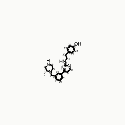 C[C@@H]1CNCCN1Cc1cccc(-c2ccnc(NCCc3ccc(O)cc3)n2)c1